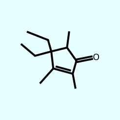 CCC1(CC)C(C)=C(C)C(=O)C1C